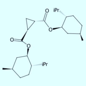 CC(C)[C@@H]1CC[C@@H](C)C[C@H]1OC(=O)[C@H]1C[C@@H]1C(=O)O[C@@H]1C[C@H](C)CC[C@H]1C(C)C